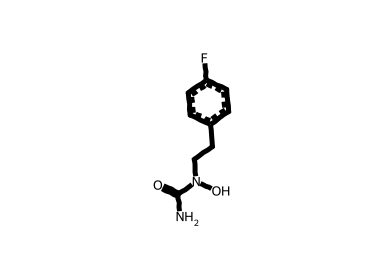 NC(=O)N(O)CCc1ccc(F)cc1